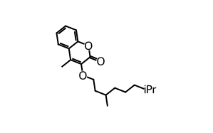 Cc1c(OCCC(C)CCCC(C)C)c(=O)oc2ccccc12